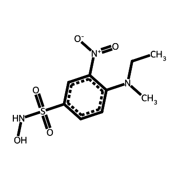 CCN(C)c1ccc(S(=O)(=O)NO)cc1[N+](=O)[O-]